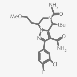 COCCC1CN(C(N)=O)C(C(C)(C)C)c2c(C(N)=O)c(-c3ccc(F)c(Cl)c3)nn21